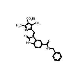 CCOC(=O)c1c(C)[nH]c(C=C2C(=O)Nc3ccc(C(=O)NCc4ccccc4)cc32)c1C